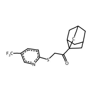 O=C(CSc1ccc(C(F)(F)F)cn1)C12CC3CC(CC1C3)C2